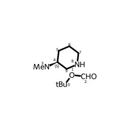 CC(C)(C)OC=O.CN[C@H]1CCCNC1